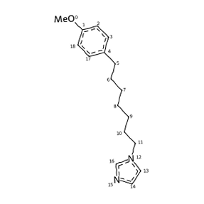 COc1ccc(CCCCCCCn2ccnc2)cc1